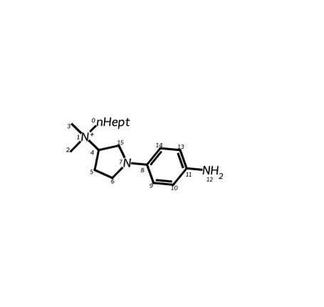 CCCCCCC[N+](C)(C)C1CCN(c2ccc(N)cc2)C1